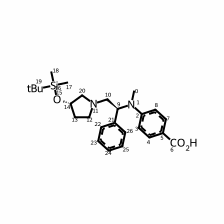 CN(c1ccc(C(=O)O)cc1)[C@H](CN1CC[C@H](O[Si](C)(C)C(C)(C)C)C1)c1ccccc1